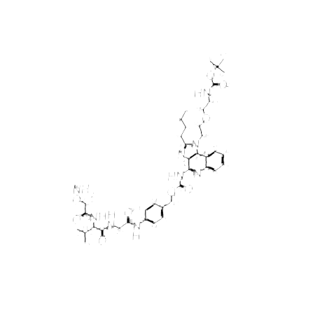 CCCCc1nc2c(NC(=O)OCc3ccc(NC(=O)CNC(=O)C(NC(=O)CON)C(C)C)cc3)nc3ccccc3c2n1CCOCCNC(=O)OC(C)(C)C